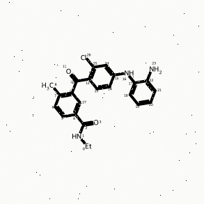 CCNC(=O)c1ccc(C)c(C(=O)c2ccc(Nc3ccccc3N)cc2Cl)c1